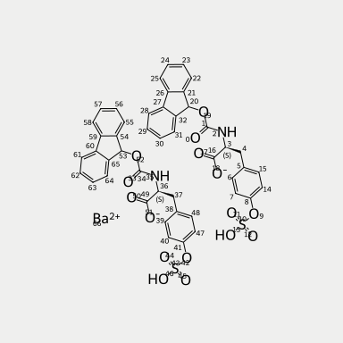 O=C(N[C@@H](Cc1ccc(OS(=O)(=O)O)cc1)C(=O)[O-])OC1c2ccccc2-c2ccccc21.O=C(N[C@@H](Cc1ccc(OS(=O)(=O)O)cc1)C(=O)[O-])OC1c2ccccc2-c2ccccc21.[Ba+2]